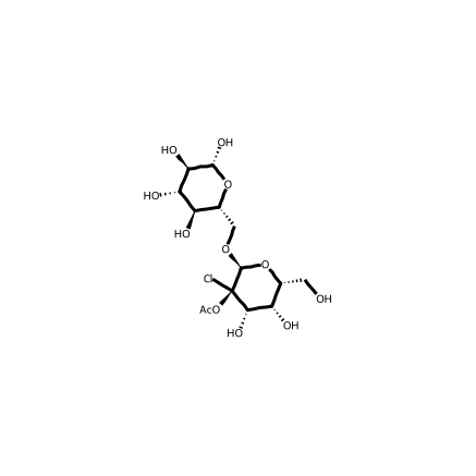 CC(=O)O[C@@]1(Cl)[C@@H](OC[C@H]2O[C@@H](O)[C@H](O)[C@@H](O)[C@@H]2O)O[C@H](CO)[C@H](O)[C@@H]1O